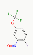 O=Nc1cc(OC(F)(F)F)ccc1I